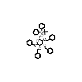 CC(C)(C)[Si](OC[C@H]1O[C@@H](Sc2ccccc2)[C@H](OCc2ccccc2)[C@@H](OCc2ccccc2)[C@@H]1OCc1ccccc1)(c1ccccc1)c1ccccc1